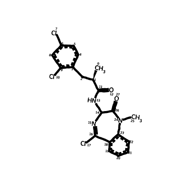 C[C@H](Cc1ccc(Cl)cc1Cl)C(=O)NC1N=C(Cl)c2ccccc2N(C)C1=O